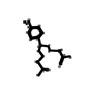 CC(=O)OCCN(CCOC(C)=O)c1ccc(N)cc1